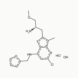 COC[C@H](N)Cc1sc2c(NCc3ccco3)cc(Cl)nc2c1C.Cl.Cl